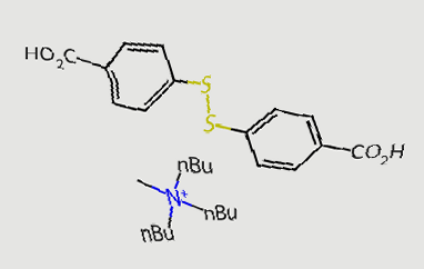 CCCC[N+](C)(CCCC)CCCC.O=C(O)c1ccc(SSc2ccc(C(=O)O)cc2)cc1